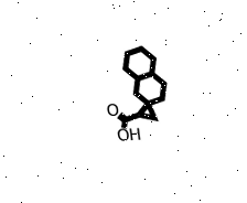 O=C(O)C1CC12CCC1CCCCC1C2